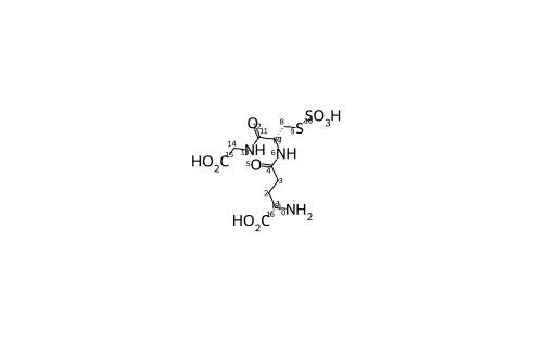 N[C@@H](CCC(=O)N[C@@H](CSS(=O)(=O)O)C(=O)NCC(=O)O)C(=O)O